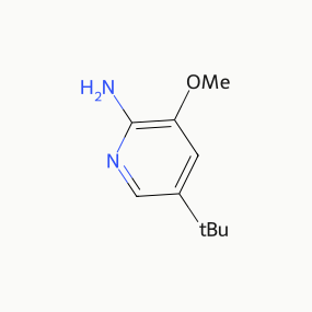 COc1cc(C(C)(C)C)cnc1N